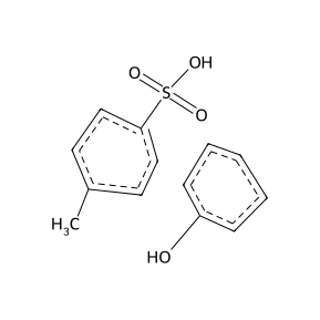 Cc1ccc(S(=O)(=O)O)cc1.Oc1ccccc1